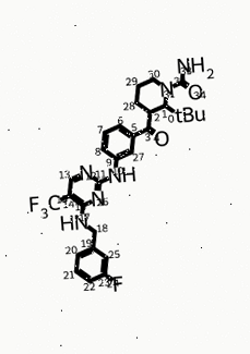 CC(C)(C)C1C(C(=O)c2cccc(Nc3ncc(C(F)(F)F)c(NCc4cccc(F)c4)n3)c2)CCCN1C(N)=O